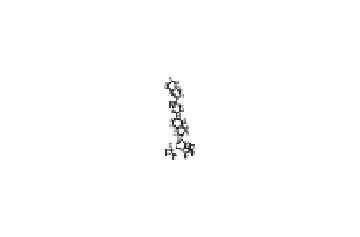 FC(F)(F)c1cc(-c2ccc3cc(-c4ccc(-c5ccc6ccccc6c5)nc4)ccc3c2)cc(C(F)(F)F)c1